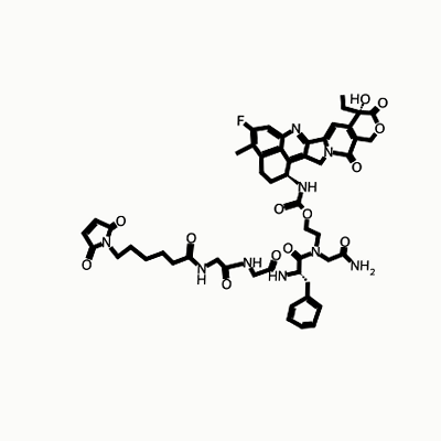 CC[C@@]1(O)C(=O)OCc2c1cc1n(c2=O)Cc2c-1nc1cc(F)c(C)c3c1c2[C@@H](NC(=O)OCCN(CC(N)=O)C(=O)[C@H](Cc1ccccc1)NC(=O)CNC(=O)CNC(=O)CCCCCN1C(=O)C=CC1=O)CC3